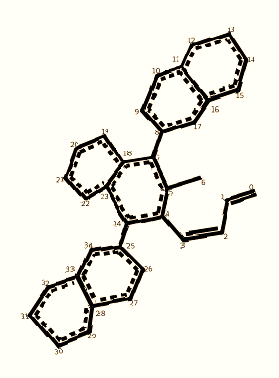 C=C/C=C\c1c(C)c(-c2ccc3ccccc3c2)c2ccccc2c1-c1ccc2ccccc2c1